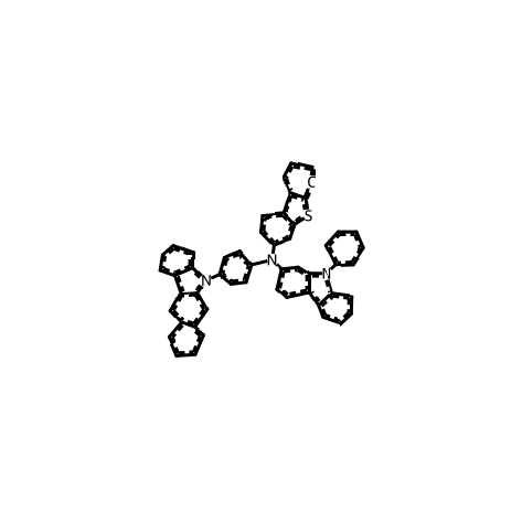 c1ccc(-n2c3ccccc3c3ccc(N(c4ccc(-n5c6ccccc6c6cc7ccccc7cc65)cc4)c4ccc5c(c4)sc4ccccc45)cc32)cc1